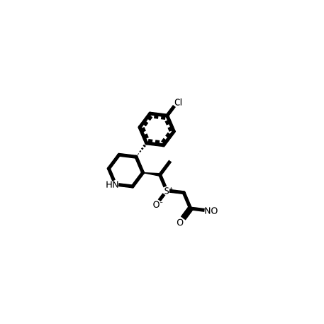 CC([C@H]1CNCC[C@@H]1c1ccc(Cl)cc1)[S+]([O-])CC(=O)N=O